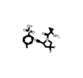 Cc1ccc(S(=O)(=O)O)cc1.N#CC1CC(F)(F)CN1C(=O)C1(N)CC1